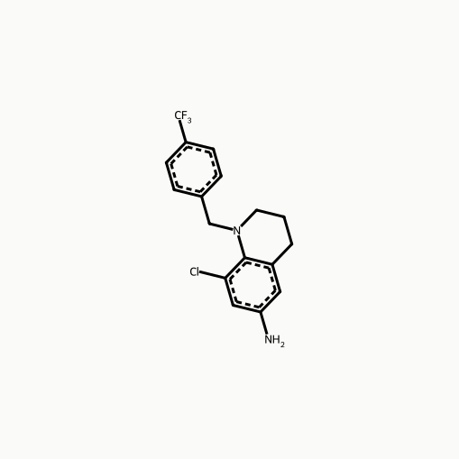 Nc1cc(Cl)c2c(c1)CCCN2Cc1ccc(C(F)(F)F)cc1